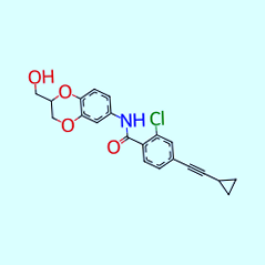 O=C(Nc1ccc2c(c1)OCC(CO)O2)c1ccc(C#CC2CC2)cc1Cl